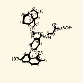 CCc1c(F)ccc2cc(O)cc(N3CCc4c(nc(OC[C@@]56CCCN5C[C@H](F)C6)nc4NCCC(=O)OC)C3)c12